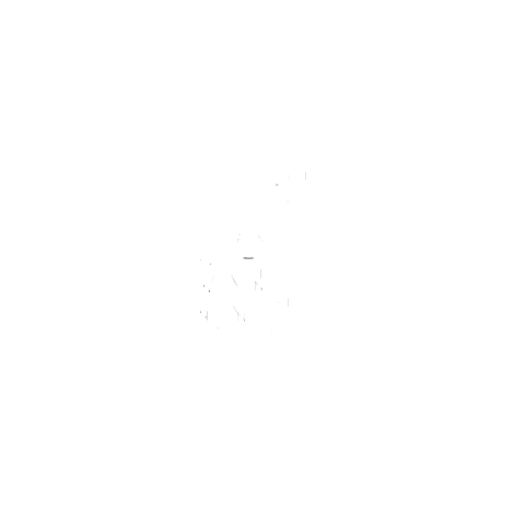 CCC(C)Nc1c(-c2c(F)cc(-c3ccc(C)cc3)cc2F)c(Cl)nc2nccnc12